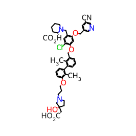 Cc1c(COc2cc(OCc3cncc(C#N)c3)c(CN3CCCC[C@H]3C(=O)O)cc2Cl)cccc1-c1cccc(OCCCN2CCC(O)(CC(=O)O)C2)c1C